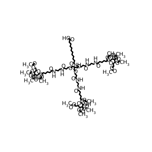 CC(=O)NC1C(OCCCCC(=O)NCCCNC(=O)CCOCC(COCCC(=O)NCCCNC(=O)CCCCOC2OC(COC(C)=O)C(OC(C)=O)C(OC(C)=O)C2NC(C)=O)(COCCC(=O)NCCCNC(=O)CCCCOC2OC(COC(C)=O)C(OC(C)=O)C(OC(C)=O)C2NC(C)=O)NC(=O)CCCCCCCCCCC(=O)O)OC(COC(C)=O)C(OC(C)=O)C1OC(C)=O